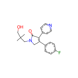 CC(C)(CO)CN1CC(c2ccc(F)cc2)=C(c2ccncc2)C1=O